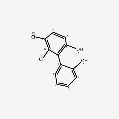 Oc1ccccc1-c1c(O)ccc(Cl)c1Cl